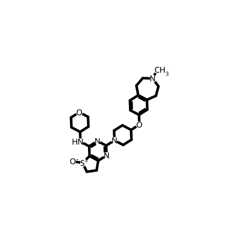 CN1CCc2ccc(OC3CCN(c4nc5c(c(NC6CCOCC6)n4)[S+]([O-])CC5)CC3)cc2CC1